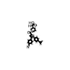 N#Cc1ccc(-c2cc(C(=O)N3CCCC(NC(=O)O)C3)nn2-c2ccc(C3CC3)cc2)cc1